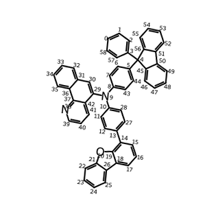 c1ccc(C2(c3ccc(N(c4ccc(-c5cccc6c5oc5ccccc56)cc4)c4cc5ccccc5c5ncccc45)cc3)c3ccccc3-c3ccccc32)cc1